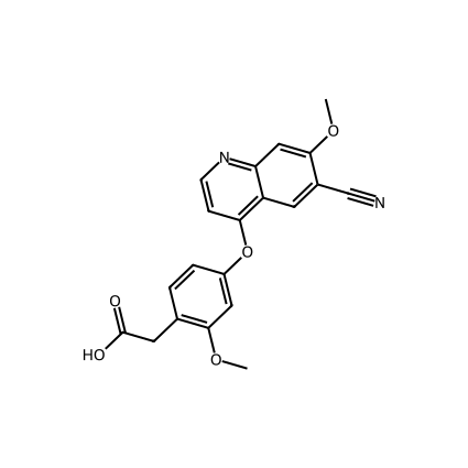 COc1cc2nccc(Oc3ccc(CC(=O)O)c(OC)c3)c2cc1C#N